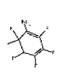 CC1(F)C(N)=C(F)C(F)=C(F)C1F